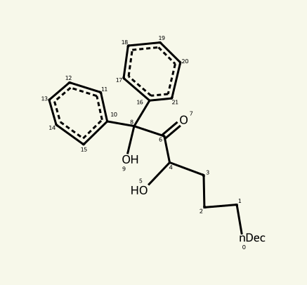 CCCCCCCCCCCCCC(O)C(=O)C(O)(c1ccccc1)c1ccccc1